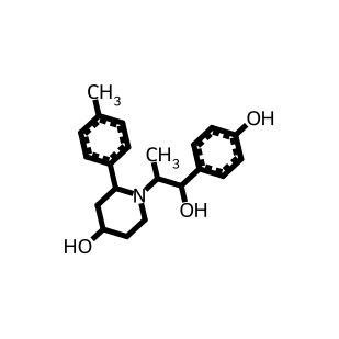 Cc1ccc(C2CC(O)CCN2C(C)C(O)c2ccc(O)cc2)cc1